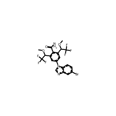 COC(c1cc(-n2cnc3cc(Br)ccc32)cc(C(OC)C(F)(F)F)c1C(N)=O)C(F)(F)F